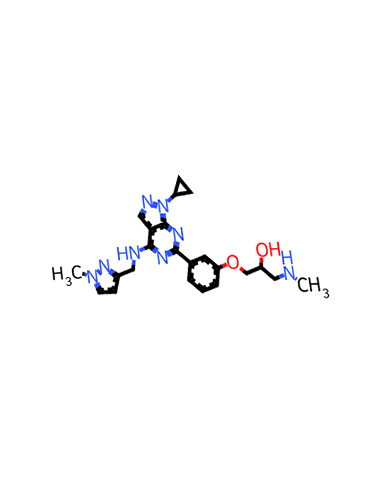 CNCC(O)COc1cccc(-c2nc(NCc3ccn(C)n3)c3cnn(C4CC4)c3n2)c1